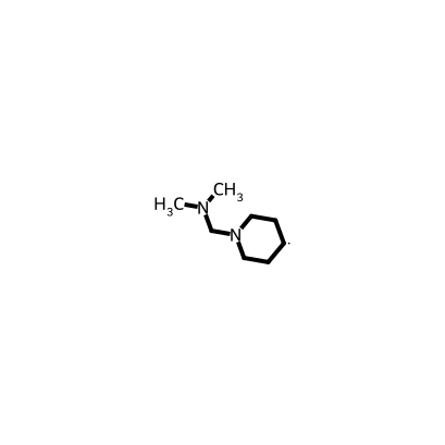 CN(C)CN1CC[CH]CC1